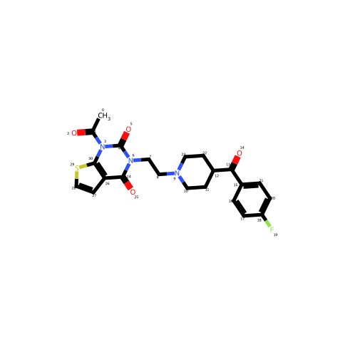 CC(=O)n1c(=O)n(CCN2CCC(C(=O)c3ccc(F)cc3)CC2)c(=O)c2ccsc21